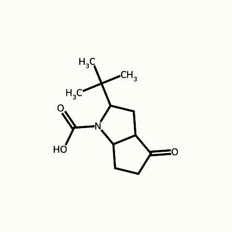 CC(C)(C)C1CC2C(=O)CCC2N1C(=O)O